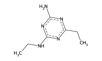 CCNc1nc(N)nc(CC)n1